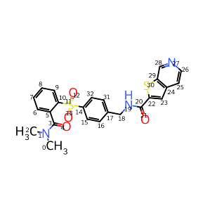 CN(C)C(=O)c1ccccc1S(=O)(=O)c1ccc(CNC(=O)c2cc3ccncc3s2)cc1